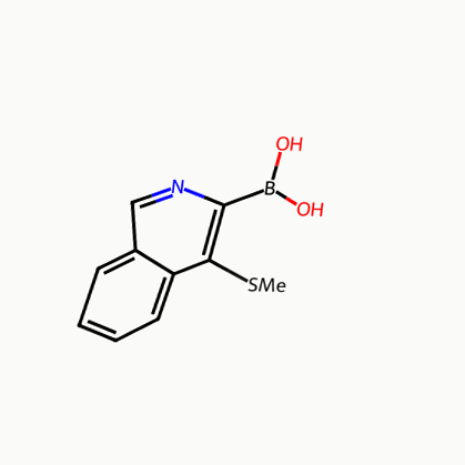 CSc1c(B(O)O)ncc2ccccc12